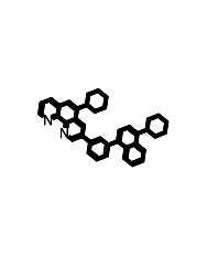 c1cc(-c2cnc3c(c2)c(C2CCCCC2)cc2cccnc23)cc(-c2ccc(C3CCCCC3)c3ccccc23)c1